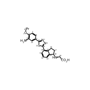 CC(C)Oc1ccc(-c2nnc(-c3cccc4c3CCC4NCC(=O)O)s2)cc1N